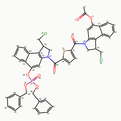 CC(=O)Oc1cc2c(c3ccccc13)C(CCl)CN2C(=O)c1ccc(C(=O)N2CC(CCl)c3c2cc(OP(=O)(OCc2ccccc2)OCc2ccccc2)c2ccccc32)s1